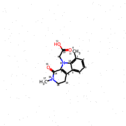 Cc1cccc2c3c(n(CC(=O)O)c12)C(=O)N(C)CC3